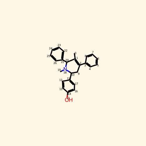 CC1=C(c2ccccc2)CC(c2ccc(O)cc2)N(C)C1c1ccccc1